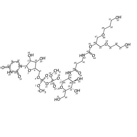 COP(=O)(OCC1OC(n2ccc(=O)[nH]c2=O)C(O)C1O)OP(=O)(OC)O[C@H]1OC(CO)[C@@H](O)[C@H](O)C1NC(=O)CCNC(=O)OC(COCCCO)COCCCO